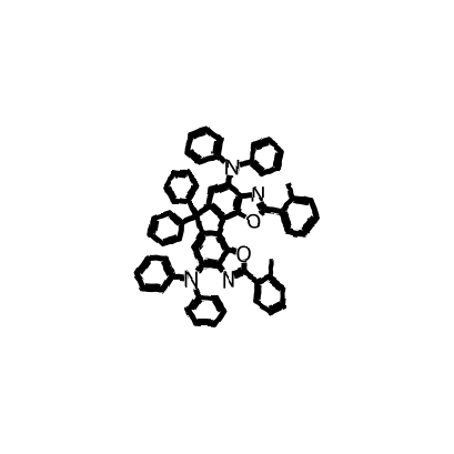 Cc1ccccc1-c1nc2c(N(c3ccccc3)c3ccccc3)cc3c(c2o1)-c1c(cc(N(c2ccccc2)c2ccccc2)c2nc(-c4ccccc4C)oc12)C3(c1ccccc1)c1ccccc1